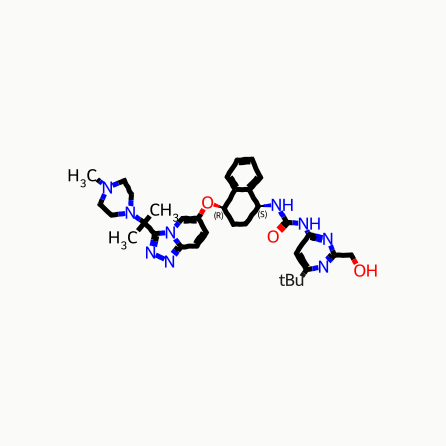 CN1CCN(C(C)(C)c2nnc3ccc(O[C@@H]4CC[C@H](NC(=O)Nc5cc(C(C)(C)C)nc(CO)n5)c5ccccc54)cn23)CC1